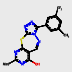 CSc1nc(O)c2c(n1)Sc1nnc(-c3cc(C)cc(C(F)(F)F)c3)n1N=C2